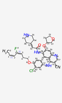 C/C=C\C(F)=C/CCOc1ccc(Nc2c(C#N)cnc3cc(OC4CCOC4)c(NC(=O)C=C4CCNCC4)cc23)cc1Cl